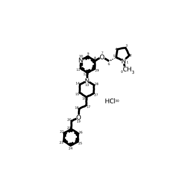 CN1CCC[C@H]1COc1cncc(N2CCC(CCOCc3ccccc3)CC2)c1.Cl